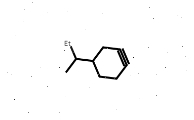 CCC(C)C1CC#CCC1